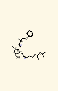 CC(C)OC(=O)CCC/C=C\C[C@@H]1[C@@H](/C=C/C(F)(F)COc2ccccc2)[C@H](C)C[C@@H]1O